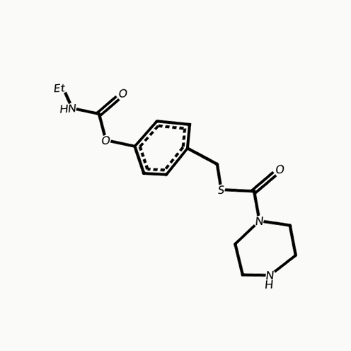 CCNC(=O)Oc1ccc(CSC(=O)N2CCNCC2)cc1